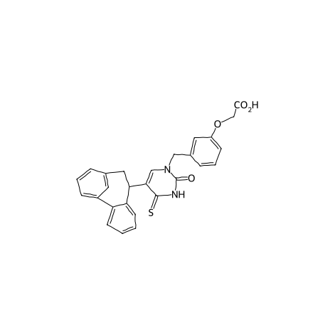 O=C(O)COc1cccc(Cn2cc(C3Cc4cccc(c4)-c4ccccc43)c(=S)[nH]c2=O)c1